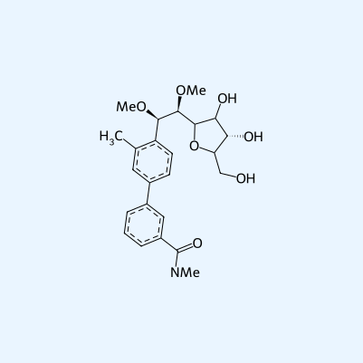 CNC(=O)c1cccc(-c2ccc([C@@H](OC)[C@@H](OC)C3OC(CO)[C@@H](O)C3O)c(C)c2)c1